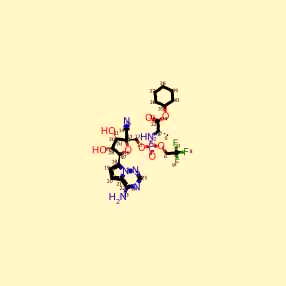 C[C@H](NP(=O)(OCC(F)(F)F)OC[C@@]1(C#N)O[C@@H](c2ccc3c(N)ncnn23)[C@H](O)[C@@H]1O)C(=O)OC1CCCCC1